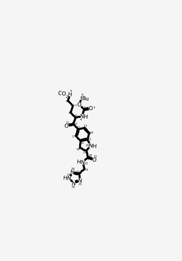 CC(C)(C)OC(=O)NC(CCCC(=O)O)C(=O)c1ccc2c(c1)CC(C(=O)NCc1nn[nH]n1)N2